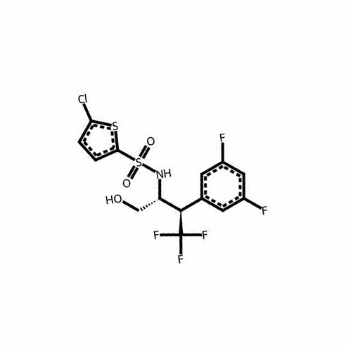 O=S(=O)(N[C@@H](CO)[C@@H](c1cc(F)cc(F)c1)C(F)(F)F)c1ccc(Cl)s1